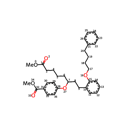 COC(=O)CCCCC(CCc1ccccc1OCCCCc1ccccc1)Oc1ccc(C(=O)OC)cc1